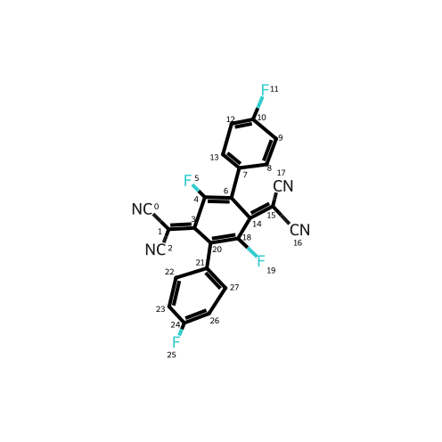 N#CC(C#N)=c1c(F)c(-c2ccc(F)cc2)c(=C(C#N)C#N)c(F)c1-c1ccc(F)cc1